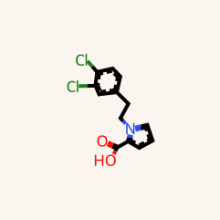 O=C(O)c1cccn1CCc1ccc(Cl)c(Cl)c1